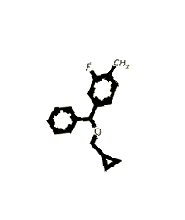 Cc1ccc(C(OCC2CC2)c2ccccc2)cc1F